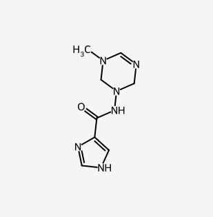 CN1C=NCN(NC(=O)c2c[nH]cn2)C1